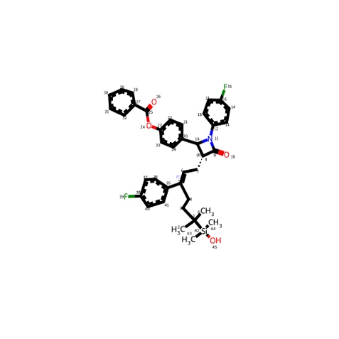 CC(C)(CC/C(=C\C[C@H]1C(=O)N(c2ccc(F)cc2)C1c1ccc(OC(=O)c2ccccc2)cc1)c1ccc(F)cc1)[Si](C)(C)O